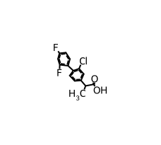 CC(C(=O)O)c1ccc(-c2ccc(F)cc2F)c(Cl)c1